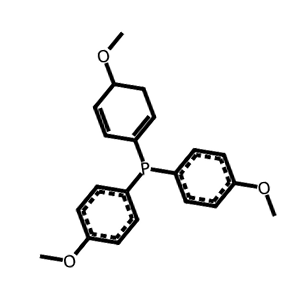 COc1ccc(P(C2=CCC(OC)C=C2)c2ccc(OC)cc2)cc1